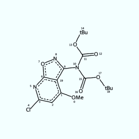 COc1cc(Cl)nc2onc(N(C(=O)OC(C)(C)C)C(=O)OC(C)(C)C)c12